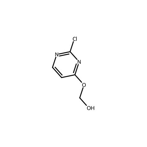 OCOc1ccnc(Cl)n1